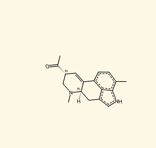 CC(=O)[C@@H]1C=C2c3ccc(C)c4[nH]cc(c34)C[C@H]2N(C)C1